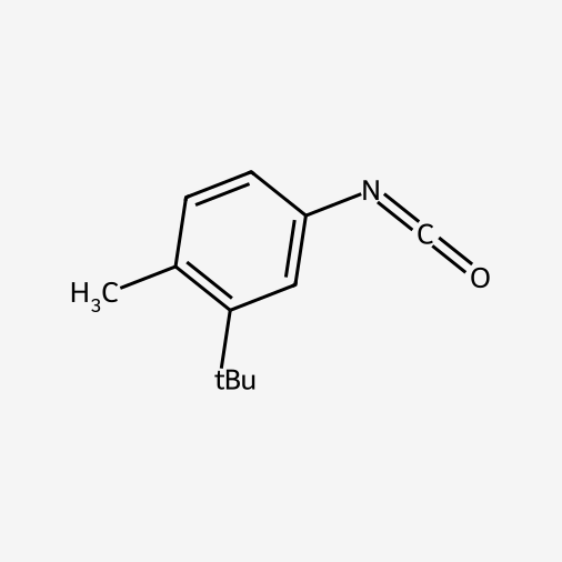 Cc1ccc(N=C=O)cc1C(C)(C)C